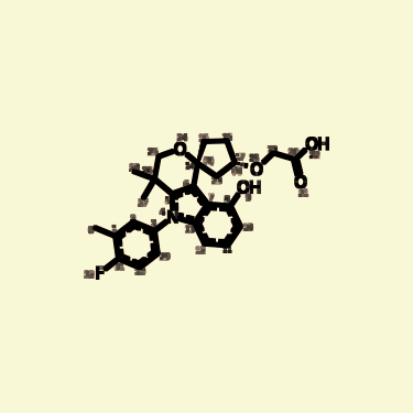 Cc1cc(-n2c3c(c4c(O)cccc42)[C@]2(CC[C@H](OCC(=O)O)C2)OCC3(C)C)ccc1F